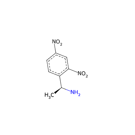 C[C@H](N)c1ccc([N+](=O)[O-])cc1[N+](=O)[O-]